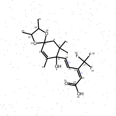 CC1=CC2(CC(C)(C)C1(O)/C=C/C(=C\C(=O)O)C(F)(F)F)OC(C)C(C)O2